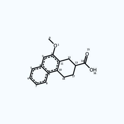 COc1cc2ccccc2c2c1CC(C(=O)O)CC2